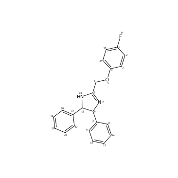 Fc1ccc(OCC2=NC(c3ccccc3)C(c3ccccc3)N2)cc1